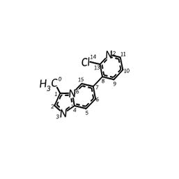 Cc1cnc2ccc(-c3cccnc3Cl)cn12